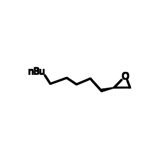 CCCCCCCCC[C@@H]1CO1